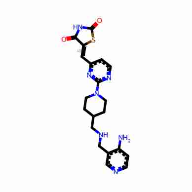 Nc1ccncc1CNCC1CCN(c2nccc(/C=C3\SC(=O)NC3=O)n2)CC1